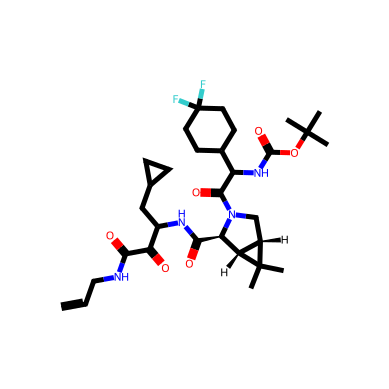 C=CCNC(=O)C(=O)C(CC1CC1)NC(=O)[C@@H]1[C@@H]2[C@H](CN1C(=O)C(NC(=O)OC(C)(C)C)C1CCC(F)(F)CC1)C2(C)C